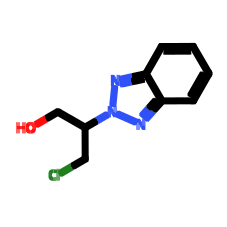 OCC(CCl)n1nc2ccccc2n1